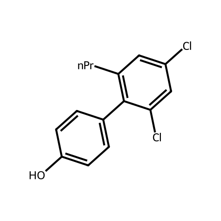 CCCc1cc(Cl)cc(Cl)c1-c1ccc(O)cc1